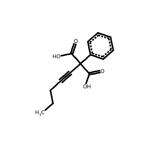 CCCC#CC(C(=O)O)(C(=O)O)c1ccccc1